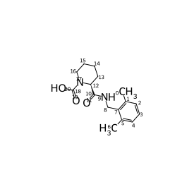 Cc1cccc(C)c1CNC(=O)[C@@H]1CCCCN1C(=O)O